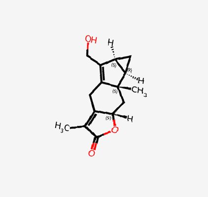 CC1=C2CC3=C(CO)[C@H]4C[C@H]4[C@]3(C)C[C@@H]2OC1=O